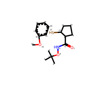 CC(C)(C)ONC(=O)C1CCCC1S.COc1ccccc1